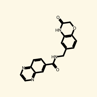 O=C1COc2ccc(CNC(=O)c3ccc4nccnc4c3)cc2N1